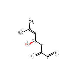 C=CC(=C)C[C@@H](O)C=C(C)C